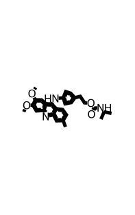 COc1cc2nc3cc(C)ccc3c(Nc3ccc(CCOC(=O)NC(C)C)cc3)c2cc1OC